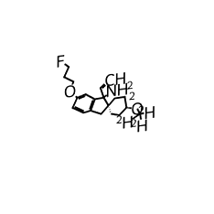 [2H]C([2H])([2H])O[C@H]1CC[C@]2(CC1)Cc1ccc(OCCCF)cc1C2(N)C=C